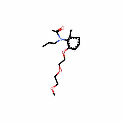 CCCN(C(C)=O)c1c(C)cccc1OCCOCCOC